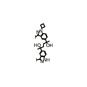 CC(O)(CCC(C)(O)c1ccc2c(c1)c(I)nn2C1CCC1)c1ccc2[nH]nc(I)c2c1